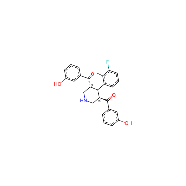 Cc1c(F)cccc1C1[C@@H](C(=O)c2cccc(O)c2)CNC[C@@H]1C(=O)c1cccc(O)c1